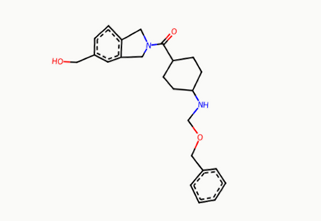 O=C(C1CCC(NCOCc2ccccc2)CC1)N1Cc2ccc(CO)cc2C1